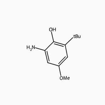 COc1cc(N)c(O)c(C(C)(C)C)c1